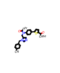 CCCC(=O)N(Cc1cncn1Cc1ccc(C#N)cc1)c1ccc(-c2ccc(C(=O)OC)s2)cc1